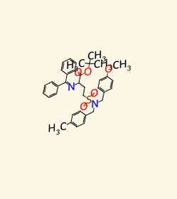 COc1ccc(CN(Cc2ccc(C)cc2)S(=O)(=O)CCC(N=C(c2ccccc2)c2ccccc2)C(=O)OC(C)(C)C)cc1